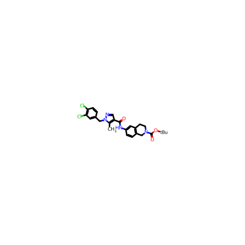 Cc1c(C(=O)Nc2ccc3c(c2)CCN(C(=O)OC(C)(C)C)C3)cnn1Cc1ccc(Cl)c(Cl)c1